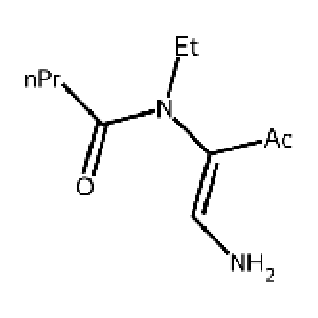 CCCC(=O)N(CC)/C(=C/N)C(C)=O